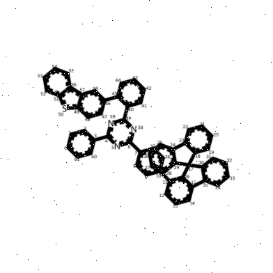 c1ccc(-c2nc(-c3ccc(-c4cccc5c4C4(c6ccccc6-c6ccccc64)c4ccccc4-5)cc3)nc(-c3ccccc3-c3ccc4sc5ccccc5c4c3)n2)cc1